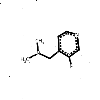 CN(C)Cc1ccncc1F